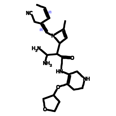 C/C=C\C(=C/N1C(C)=CC1C(C(=O)NC1=C(OC2CCOC2)CCNC1)C(N)N)CC#N